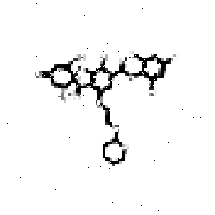 C[C@@H]1CC(=O)C=C(O)[C@@]12Oc1c(Cl)c(C(=O)Oc3c(Cl)cc(Cl)cc3Cl)cc(OCCOC3CCCCO3)c1C2=O